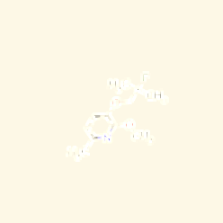 COc1nc(C)ccc1OCC(C)(C)F